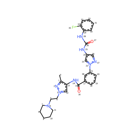 Cc1nn(CCN2CCCCC2)cc1NC(=O)c1cccc(-n2cc(NC(=O)Nc3ccccc3F)cn2)c1